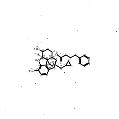 O=C(CCCc1ccccc1)O[C@@]12CCC(O)[C@@H]3Oc4c(O)ccc5c4C31CCN(CC1CC1)C2C5